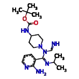 CC(C)/N=C(/c1cccnc1N)N(C=N)N1CCC(NC(=O)OC(C)(C)C)CC1